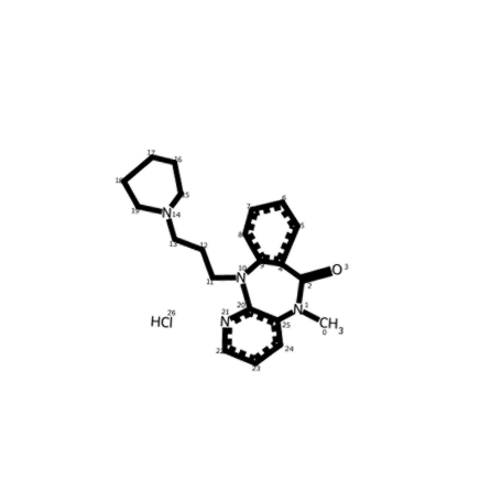 CN1C(=O)c2ccccc2N(CCCN2CCCCC2)c2ncccc21.Cl